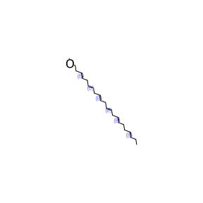 CC/C=C/CC/C=C/C/C=C/C/C=C/C/C=C/C/C=C/CCOC